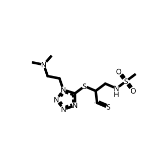 CN(C)CCn1nnnc1SC([C]=S)CNS(C)(=O)=O